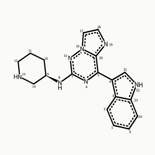 c1ccc2c(-c3nc(N[C@@H]4CCCNC4)nn4ccnc34)c[nH]c2c1